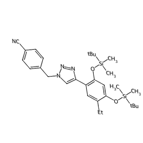 CCc1cc(-c2cn(Cc3ccc(C#N)cc3)nn2)c(O[Si](C)(C)C(C)(C)C)cc1O[Si](C)(C)C(C)(C)C